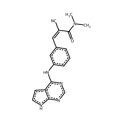 CN(C)C(=O)C(C#N)=Cc1cccc(Nc2ncnc3[nH]ccc23)c1